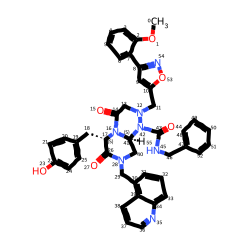 COc1ccccc1-c1cc(CN2CC(=O)N3[C@@H](Cc4ccc(O)cc4)C(=O)N(Cc4cccc5ncccc45)C[C@@H]3N2C(=O)NCc2ccccc2)on1